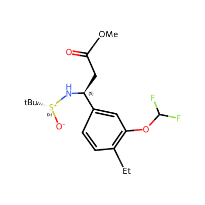 CCc1ccc([C@H](CC(=O)OC)N[S@+]([O-])C(C)(C)C)cc1OC(F)F